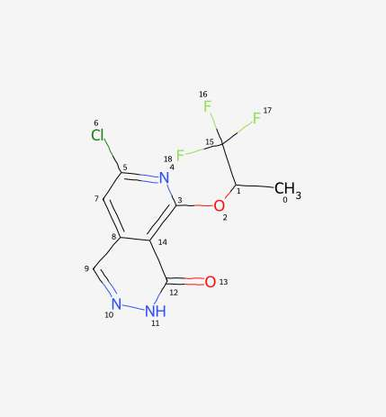 CC(Oc1nc(Cl)cc2cn[nH]c(=O)c12)C(F)(F)F